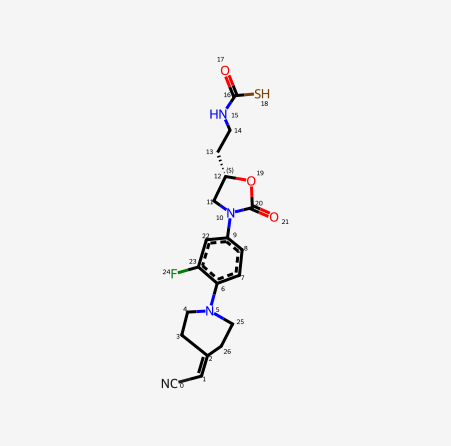 N#CC=C1CCN(c2ccc(N3C[C@H](CCNC(=O)S)OC3=O)cc2F)CC1